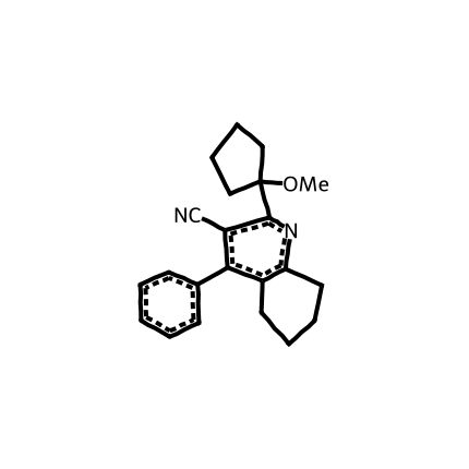 COC1(c2nc3c(c(-c4ccccc4)c2C#N)CCCC3)CCCC1